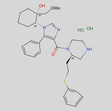 COC[C@]1(O)CCCC[C@H]1n1cnc(C(=O)N2CCNC[C@H]2CCSc2ccccc2)c1-c1ccccc1.Cl.Cl